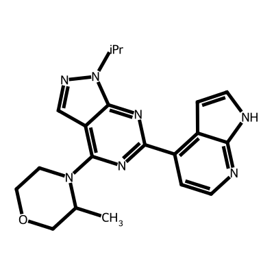 CC1COCCN1c1nc(-c2ccnc3[nH]ccc23)nc2c1cnn2C(C)C